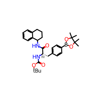 CC(C)(C)OC(=O)N[C@@H](Cc1ccc(B2OC(C)(C)C(C)(C)O2)cc1)C(=O)NC1CCCc2ccccc21